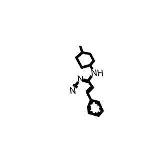 CC1CCC(NC(C=Cc2ccccc2)=NC#N)CC1